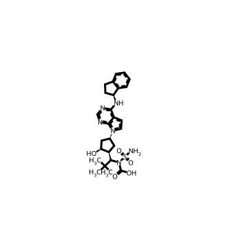 CC(C)(C)C([C@@H]1C[C@@H](n2ccc3c(N[C@H]4CCc5ccccc54)ncnc32)C[C@@H]1O)N(C(=O)O)S(N)(=O)=O